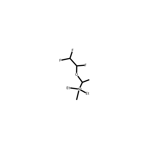 CC[N+](C)(CC)C(C)OC(F)C(F)F